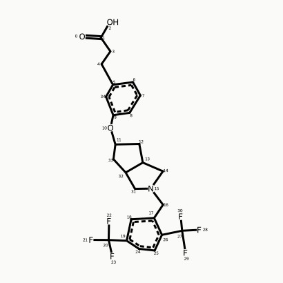 O=C(O)CCc1cccc(OC2CC3CN(Cc4cc(C(F)(F)F)ccc4C(F)(F)F)CC3C2)c1